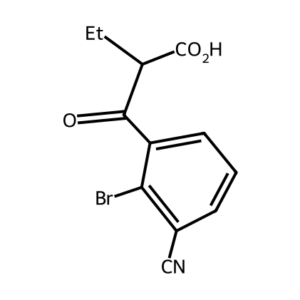 CCC(C(=O)O)C(=O)c1cccc(C#N)c1Br